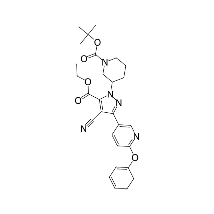 CCOC(=O)c1c(C#N)c(-c2ccc(OC3=CC=CCC3)nc2)nn1C1CCCN(C(=O)OC(C)(C)C)C1